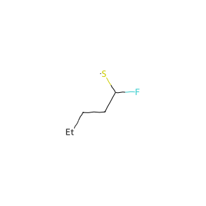 CCCCC(F)[S]